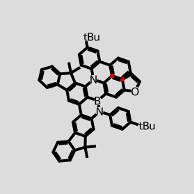 CC(C)(C)c1ccc(N2B3c4cc5occc5cc4N(c4ccc(C(C)(C)C)cc4-c4ccccc4)c4c3c(cc3c4C(C)(C)c4ccccc4-3)-c3cc4c(cc32)C(C)(C)c2ccccc2-4)cc1